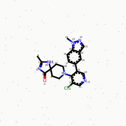 CC1=NC(=O)C2(CCN(c3c(Cl)cncc3-c3ccc4c(cnn4C)c3)CC2)N1